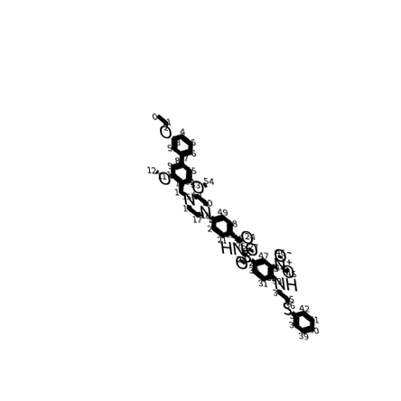 CCOc1cccc(-c2cc(OC)c(CN3CCN(c4ccc(C(=O)NS(=O)(=O)c5ccc(NCCSc6ccccc6)c([N+](=O)[O-])c5)cc4)CC3)c(OC)c2)c1